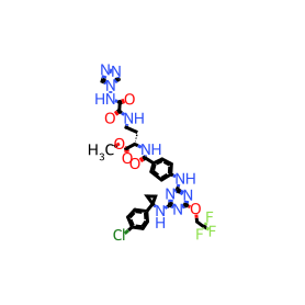 COC(=O)[C@H](CCNC(=O)C(=O)Nn1cnnc1)NC(=O)c1ccc(Nc2nc(NC3(c4ccc(Cl)cc4)CC3)nc(OCC(F)(F)F)n2)cc1